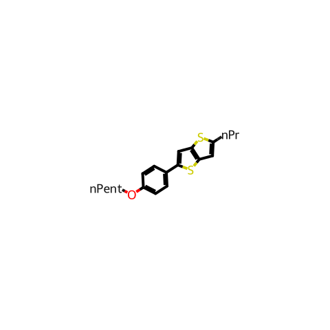 CCCCCOc1ccc(-c2cc3sc(CCC)cc3s2)cc1